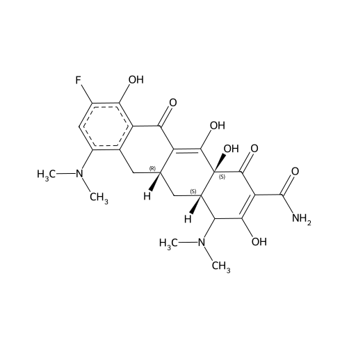 CN(C)c1cc(F)c(O)c2c1C[C@H]1C[C@H]3C(N(C)C)C(O)=C(C(N)=O)C(=O)[C@@]3(O)C(O)=C1C2=O